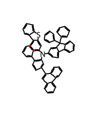 c1ccc(-c2ccc(-c3cc4ccccc4c4ccccc34)cc2N(c2ccc3c(c2)C(c2ccccc2)(c2ccccc2)c2ccccc2-3)c2ccc3c(c2)sc2ccccc23)cc1